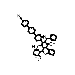 Cc1c2c(C3C=CC=CC3C)nc3ccccc3c2c(C)c2c(-c3ccccc3)nc3cc(-c4ccc(-c5ccc(C#N)cc5)cc4)ccc3c12